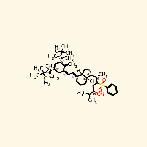 C=C1/C(=C\C=C2/CCC[C@]3(C)[C@@H]([C@H](C)C(C[C@@H](O)C(C)C)S(=O)(=O)c4ccccc4)CC[C@@H]23)C[C@@H]([Si](C)(C)C(C)(C)C)C[C@@H]1[Si](C)(C)C(C)(C)C